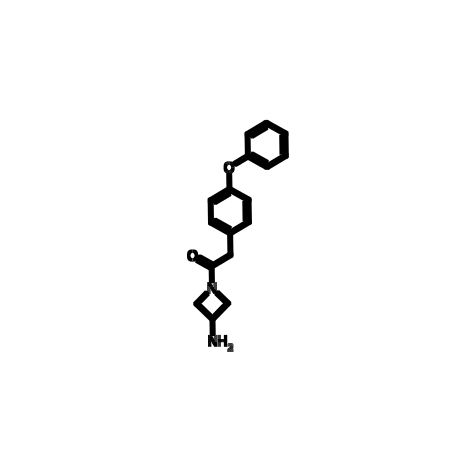 NC1CN(C(=O)Cc2ccc(Oc3ccccc3)cc2)C1